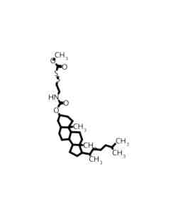 COC(=O)SSCCNC(=O)OC1CCC2(C)C(CCC3C2CCC2(C)C(C(C)CCCC(C)C)CCC32)C1